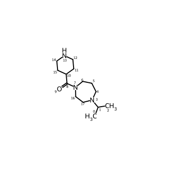 CC(C)N1CCCN(C(=O)C2CCNCC2)CC1